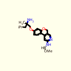 COBNc1cc2c(cn1)COc1cc(OCC(C)(N)CC(C)C)ccc1-2